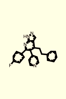 Fc1ccc(-c2nc3[nH]ncc3c(CCc3ccccc3)c2-c2ccncc2)cc1